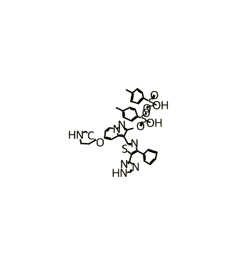 Cc1ccc(S(=O)(=O)O)cc1.Cc1ccc(S(=O)(=O)O)cc1.Cc1nn2ccc(OC3CCNCC3)cc2c1-c1nc(-c2ccccc2)c(-c2nc[nH]n2)s1